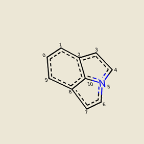 c1cc2ccn3ccc(c1)c23